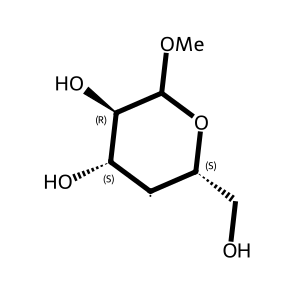 COC1O[C@H](CO)[CH][C@H](O)[C@H]1O